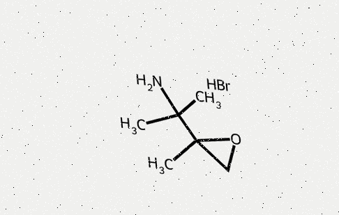 Br.CC(C)(N)C1(C)CO1